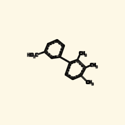 Cc1ccc(-c2cccc(C(=O)O)c2)c(C)c1C